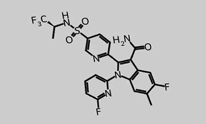 Cc1cc2c(cc1F)c(C(N)=O)c(-c1ccc(S(=O)(=O)N[C@@H](C)C(F)(F)F)cn1)n2-c1cccc(F)n1